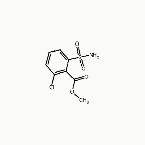 COC(=O)c1c(Cl)cccc1S(N)(=O)=O